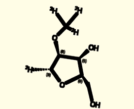 [2H][C@H]1O[C@H](CO)[C@H](O)[C@@H]1OC([2H])([2H])[2H]